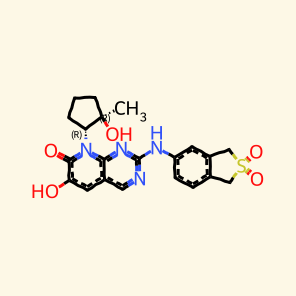 C[C@@]1(O)CCC[C@H]1n1c(=O)c(O)cc2cnc(Nc3ccc4c(c3)CS(=O)(=O)C4)nc21